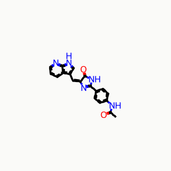 CC(=O)Nc1ccc(C2=NC(=Cc3c[nH]c4ncccc34)C(=O)N2)cc1